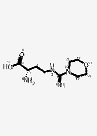 N=C(NCC[C@H](N)C(=O)O)N1CCOCC1